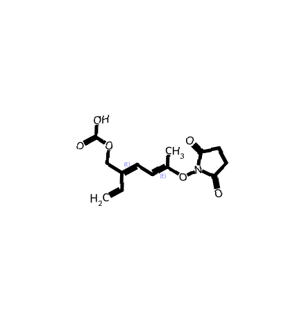 C=C/C(=C\C=C(/C)ON1C(=O)CCC1=O)COC(=O)O